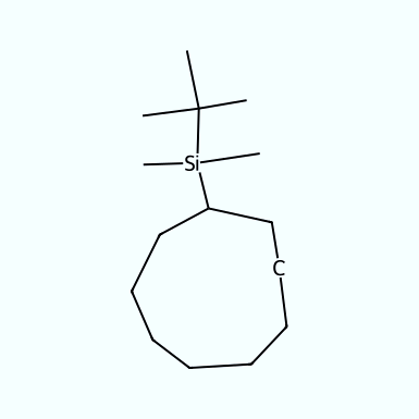 CC(C)(C)[Si](C)(C)C1CCCCCCCC1